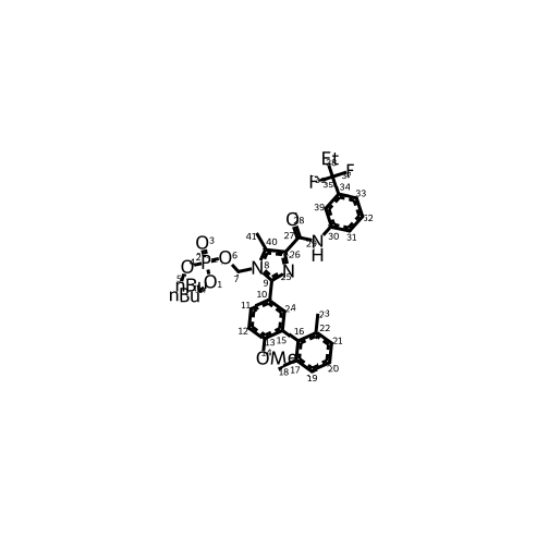 CCCCOP(=O)(OCCCC)OCn1c(-c2ccc(OC)c(-c3c(C)cccc3C)c2)nc(C(=O)Nc2cccc(C(F)(F)CC)c2)c1C